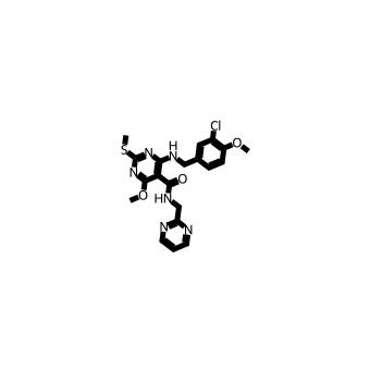 COc1ccc(CNc2nc(SC)nc(OC)c2C(=O)NCc2ncccn2)cc1Cl